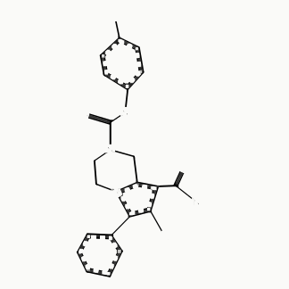 NC(=O)c1c(Cl)c(-c2ccccc2)n2c1CN(C(=O)Nc1ccc(F)cc1)CC2